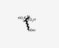 CCCCCCCCCCCCCCCCC(C)C(C(=O)O)C1(C(=O)O)SS1